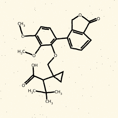 COc1ccc(-c2cccc3c2COC3=O)c(OCC2(C(C(=O)O)C(C)(C)C)CC2)c1OC